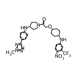 Cn1nnc(-c2ccc(NC3CCN(C(=O)COC4CCC(Nc5ccc([N+](=O)[O-])c(C(F)(F)F)c5)CC4)CC3)cc2)n1